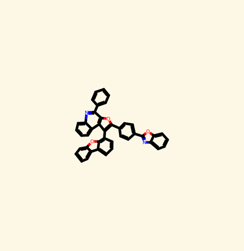 c1ccc(-c2nc3ccccc3c3c(-c4cccc5c4oc4ccccc45)c(-c4ccc(-c5nc6ccccc6o5)cc4)oc23)cc1